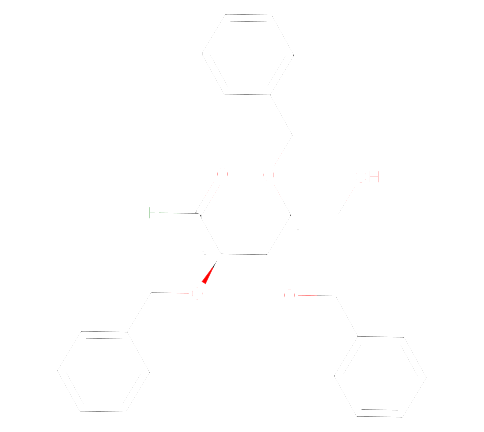 O=C(F)[C@H](OCc1ccccc1)[C@@H](OCc1ccccc1)[C@@H](CO)OCc1ccccc1